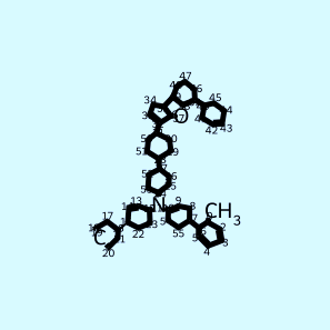 CC1C=CC=CC1C1CC=C(N(C2C=C[C@H](C3CCCCC3)CC2)C2CCC(C3CCC(C4=CCC5C4OC4C(C6CC=CCC6)CCCC54)CC3)CC2)CC1